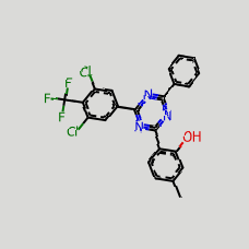 Cc1ccc(-c2nc(-c3ccccc3)nc(-c3cc(Cl)c(C(F)(F)F)c(Cl)c3)n2)c(O)c1